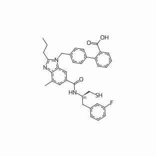 CCCc1nc2c(C)cc(C(=O)N[C@@H](CS)Cc3cccc(F)c3)cc2n1Cc1ccc(-c2ccccc2C(=O)O)cc1